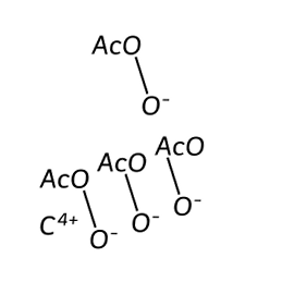 CC(=O)O[O-].CC(=O)O[O-].CC(=O)O[O-].CC(=O)O[O-].[C+4]